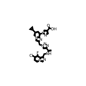 C=C(NCc1ncn2ccc(Cl)c(F)c12)c1cn(Cc2cn3cc(C4CC4)cc(-n4cc(C(=O)O)cn4)c3n2)nn1